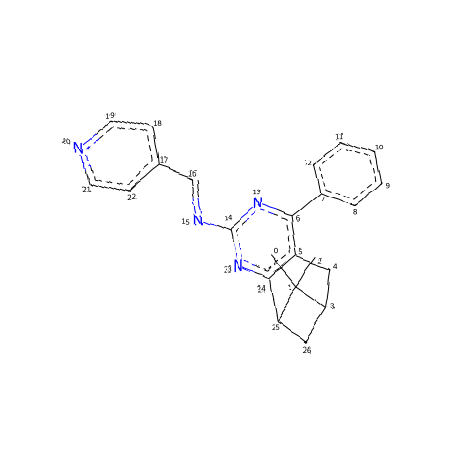 CC1(C)C2Cc3c(-c4ccccc4)nc(N=Cc4ccncc4)nc3C1C2